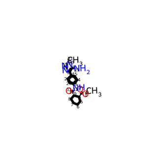 COC(=O)[C@H]1CCCC[C@@H]1C(=O)Nc1ccc(-c2nnn(C)c2N)cc1